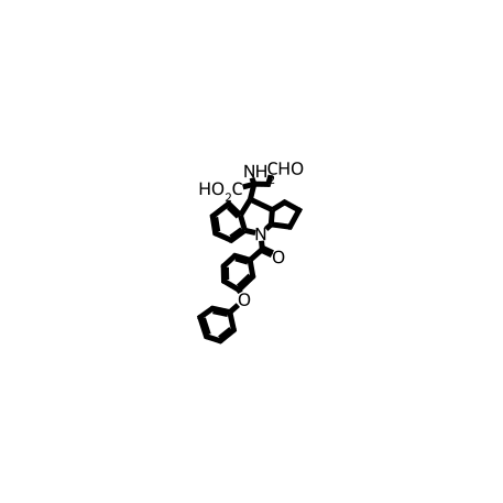 NC(CC=O)(C(=O)O)C1c2ccccc2N(C(=O)c2cccc(Oc3ccccc3)c2)C2CCCC21